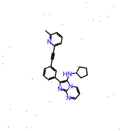 Cc1cccc(C#Cc2cccc(-c3nc4ncccn4c3NC3CCCC3)c2)n1